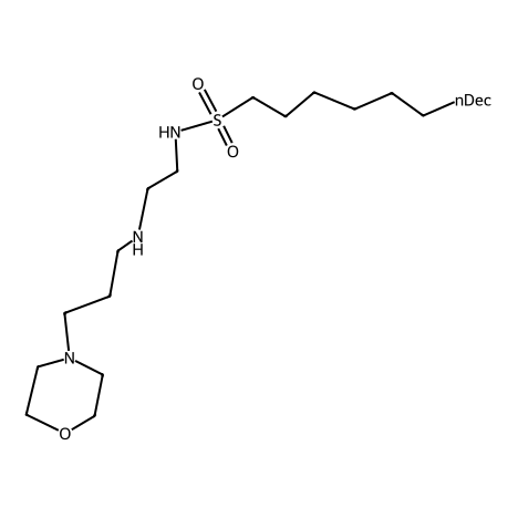 CCCCCCCCCCCCCCCCS(=O)(=O)NCCNCCCN1CCOCC1